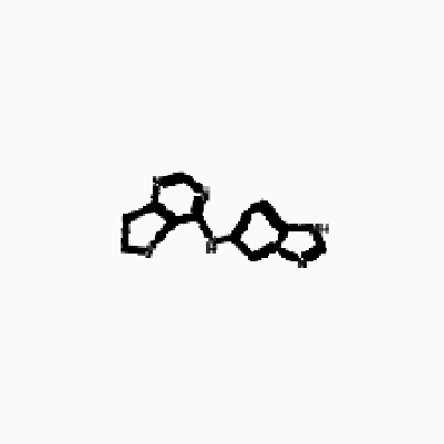 c1nc2c(c(Nc3ccc4[nH]cnc4c3)n1)SCC2